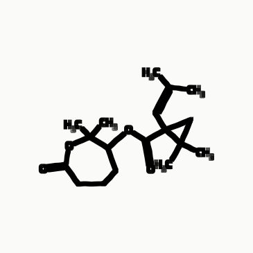 CC(C)=CC1(C(=O)OC2CCCC(=O)OC2(C)C)CC1(C)C